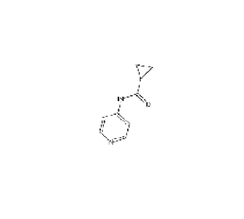 O=C(Nc1ccncc1)C1CC1